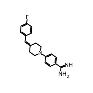 N=C(N)c1ccc(N2CCC(=Cc3ccc(F)cc3)CC2)cc1